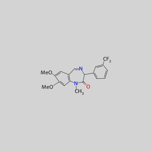 COc1cc2c(cc1OC)N(C)C(=O)C(c1cccc(C(F)(F)F)c1)N=C2